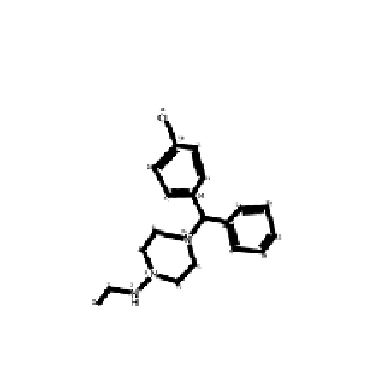 CCNN1CCN(C(c2ccccc2)c2ccc(Cl)cc2)CC1